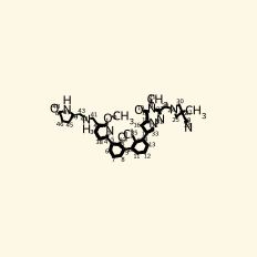 COc1nc(-c2cccc(-c3cccc(-c4cc5c(=O)n(C)c(CN6CC(C)(C#N)C6)nn5c4)c3Cl)c2Cl)ccc1CNC[C@H]1CCC(=O)N1